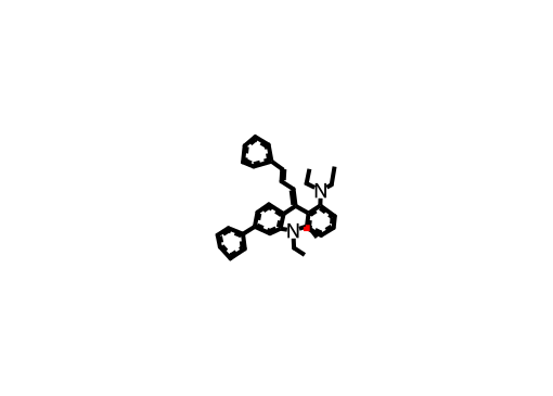 CCN(CC)c1ccccc1C(=CC=Cc1ccccc1)c1ccc(-c2ccccc2)cc1N(CC)CC